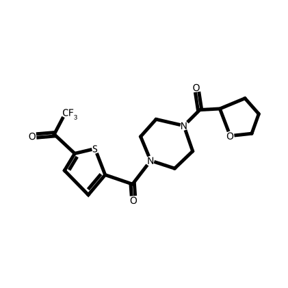 O=C(c1ccc(C(=O)C(F)(F)F)s1)N1CCN(C(=O)C2CCCO2)CC1